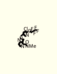 CNC(=O)c1nccc2nn(Cc3cnc(OCC(F)(F)C(F)F)c(Cl)c3)cc12